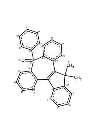 CC1(C)C2=C(c3ncccc31)c1ncccc1P(=O)(c1ccccc1)c1ccccc12